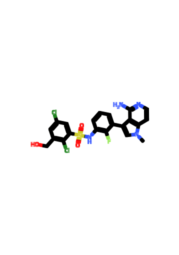 Cn1cc(-c2cccc(NS(=O)(=O)c3cc(Cl)cc(CO)c3Cl)c2F)c2c(N)nccc21